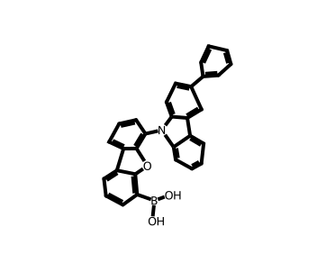 OB(O)c1cccc2c1oc1c(-n3c4ccccc4c4cc(-c5ccccc5)ccc43)cccc12